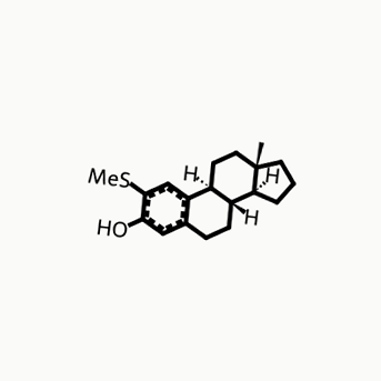 CSc1cc2c(cc1O)CC[C@@H]1[C@@H]2CC[C@]2(C)CCC[C@@H]12